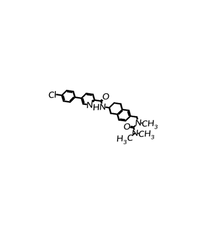 CN(C)C(=O)N(C)Cc1ccc2c(c1)CCC(NC(=O)c1ccc(-c3ccc(Cl)cc3)cn1)C2